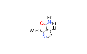 [Li][c]1ccnc(OC)c1C(=O)N(CC)CC